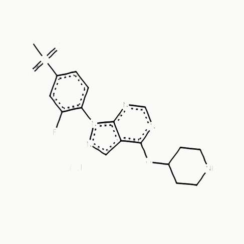 CS(=O)(=O)c1ccc(-n2ncc3c(OC4CCNCC4)ncnc32)c(F)c1.Cl